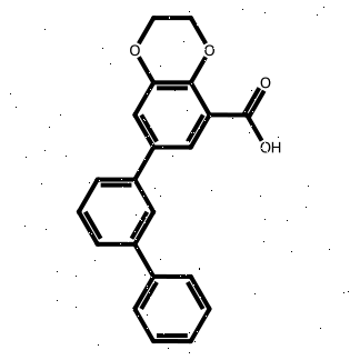 O=C(O)c1cc(-c2cccc(-c3ccccc3)c2)cc2c1OCCO2